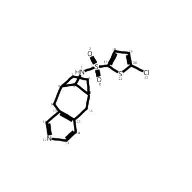 O=S(=O)(NC1C2CCC1Cc1cnccc1C2)c1ccc(Cl)s1